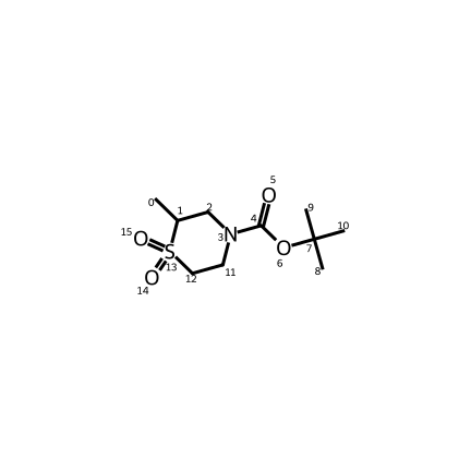 CC1CN(C(=O)OC(C)(C)C)CCS1(=O)=O